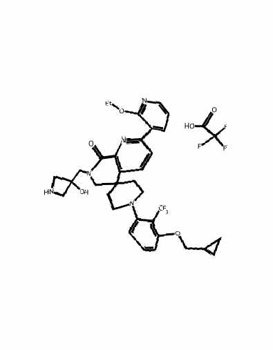 CCOc1ncccc1-c1ccc2c(n1)C(=O)N(CC1(O)CNC1)CC21CCN(c2cccc(OCC3CC3)c2C(F)(F)F)CC1.O=C(O)C(F)(F)F